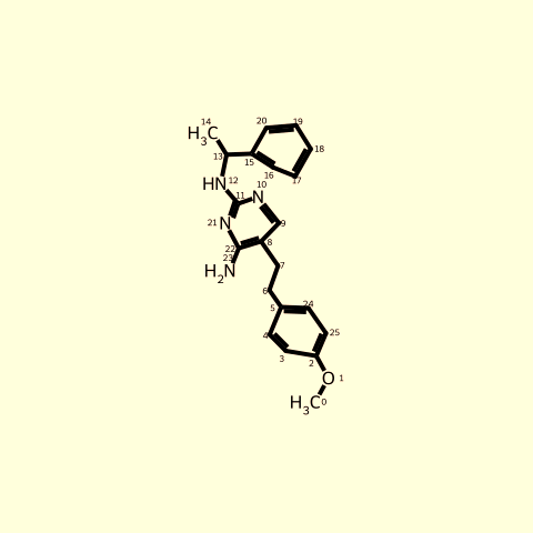 COc1ccc(CCc2cnc(NC(C)c3ccccc3)nc2N)cc1